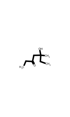 CCC(=O)[CH]C(C)(O)CC